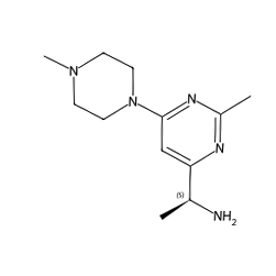 Cc1nc([C@H](C)N)cc(N2CCN(C)CC2)n1